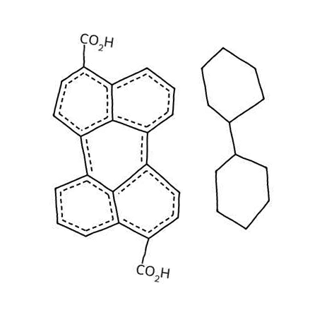 C1CCC(C2CCCCC2)CC1.O=C(O)c1ccc2c3cccc4c(C(=O)O)ccc(c5cccc1c52)c43